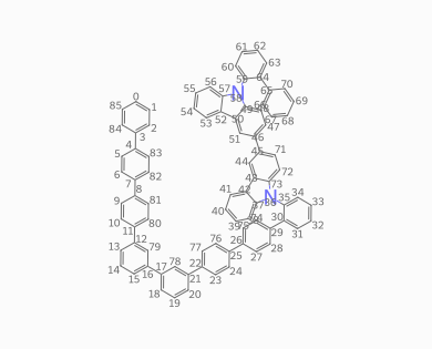 c1ccc(-c2ccc(-c3ccc(-c4cccc(-c5cccc(-c6ccc(-c7ccc(-c8ccccc8-n8c9ccccc9c9cc(-c%10ccc%11c(c%10)c%10ccccc%10n%11-c%10ccccc%10-c%10ccccc%10)ccc98)cc7)cc6)c5)c4)cc3)cc2)cc1